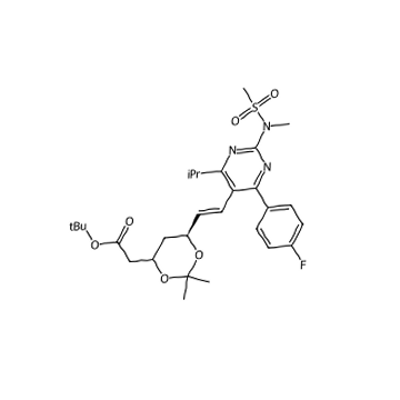 CC(C)c1nc(N(C)S(C)(=O)=O)nc(-c2ccc(F)cc2)c1/C=C/[C@@H]1CC(CC(=O)OC(C)(C)C)OC(C)(C)O1